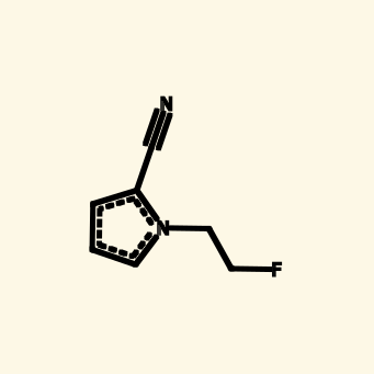 N#Cc1cccn1CCF